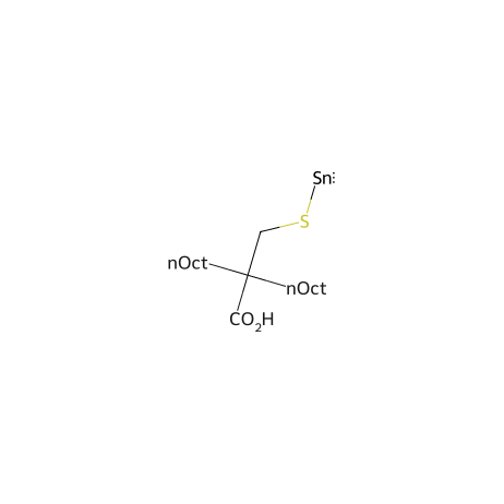 CCCCCCCCC(CCCCCCCC)(C[S][Sn])C(=O)O